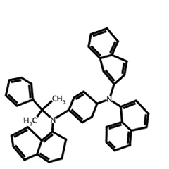 CC(C)(c1ccccc1)N(C1=CCC(N(c2ccc3ccccc3c2)c2cccc3ccccc23)C=C1)C1=c2ccccc2=CCC1